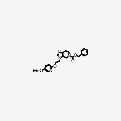 COc1ccc(OCCn2cnc3c2CN(C(=O)OCc2ccccc2)CC3)nc1